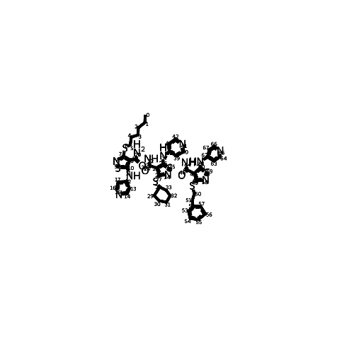 CCCCCCSc1nsc(Nc2ccncc2)c1C(N)=O.NC(=O)c1c(SC2CCCCC2)nsc1Nc1ccncc1.NC(=O)c1c(SCCc2ccccc2)nsc1Nc1ccncc1